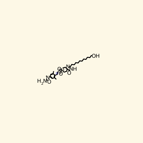 Cc1cc(N(C)C(N)=O)cc(C)c1/C=C/S(=O)(=O)N1CCC2(CC1)N=C(CCCCCCCCCCCO)NC2=O